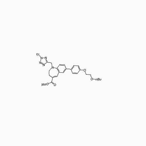 CCCCOCCOc1ccc(-c2ccc3c(c2)C=C(C(=O)OC)CCN3Cc2nnn(CC)n2)cc1